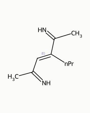 CCC/C(=C\C(C)=N)C(C)=N